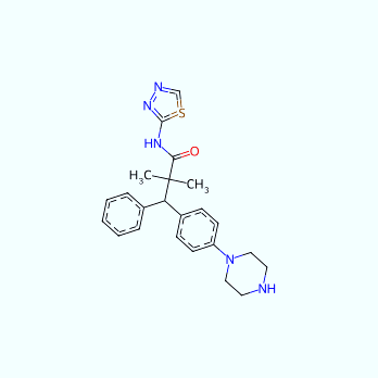 CC(C)(C(=O)Nc1nncs1)C(c1ccccc1)c1ccc(N2CCNCC2)cc1